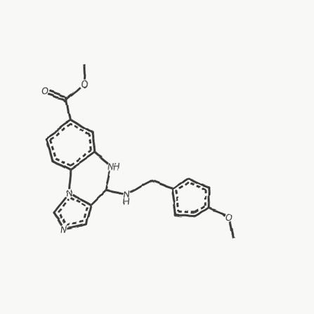 COC(=O)c1ccc2c(c1)NC(NCc1ccc(OC)cc1)c1cncn1-2